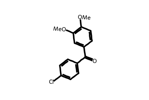 COc1ccc(C(=O)c2ccc(Cl)cc2)cc1OC